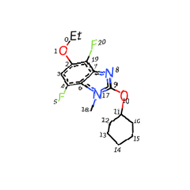 CCOc1cc(F)c2c(nc(OC3CCCCC3)n2C)c1F